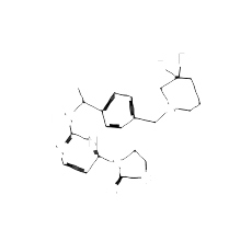 CC(Nc1nccc(N2CCOC2=O)n1)c1ccc(CN2CCCC(F)(F)C2)cc1